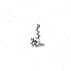 N#CCCC/C=C\C[C@@H]1[C@H](CO)[C@H]2CC[C@@H]1O2